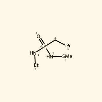 CCNP(=O)(CC(C)C)NSC